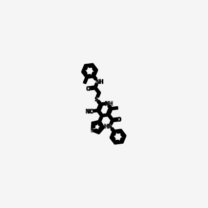 CC1=C(C(=O)Nc2ccccc2)C(c2ccsc2)C(C#N)=C(SCC(=O)Nc2ccccc2C)N1